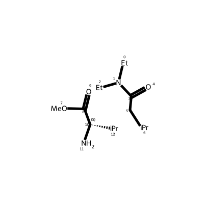 CCN(CC)C(=O)CC(C)C.COC(=O)[C@@H](N)C(C)C